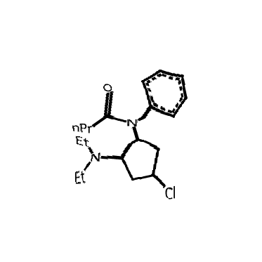 CCCC(=O)N(c1ccccc1)C1CC(Cl)CC1N(CC)CC